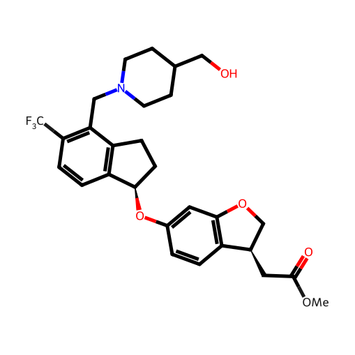 COC(=O)C[C@@H]1COc2cc(O[C@@H]3CCc4c3ccc(C(F)(F)F)c4CN3CCC(CO)CC3)ccc21